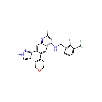 Cc1cc(NCc2cccc(C(F)F)c2F)c2cc(C3=CCOCC3)c(-c3ccn(C)n3)cc2n1